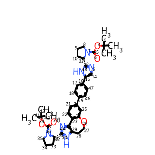 CC(C)(C)OC(=O)N1CCC[C@H]1c1ncc(-c2ccc(-c3ccc4c(c3)OCCc3[nH]c([C@@H]5CCCN5C(=O)OC(C)(C)C)nc3-4)cc2)[nH]1